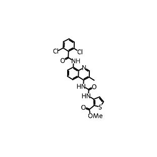 COC(=O)c1sccc1NC(=O)Nc1c(C)cnc2c(NC(=O)c3c(Cl)cccc3Cl)cccc12